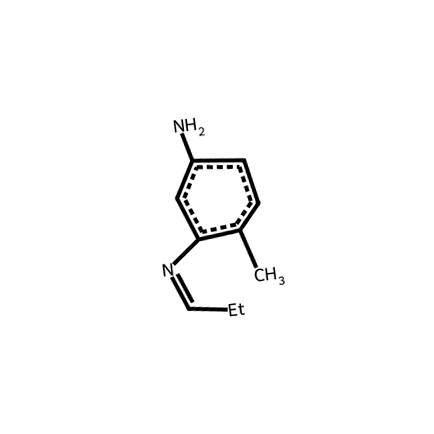 CC/C=N\c1cc(N)ccc1C